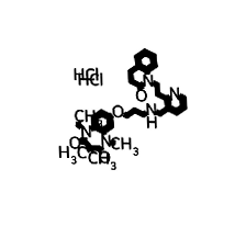 CCN1C(=O)C(C)(C)C(=O)N(C)c2cc(OCCCNCc3cccnc3CCN3C(=O)CCc4ccccc43)ccc21.Cl.Cl